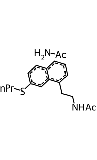 CC(N)=O.CCCSc1ccc2cccc(CCNC(C)=O)c2c1